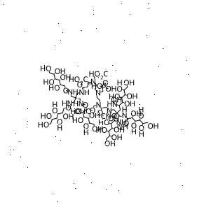 O=COCN(CCN(CCN(CC(=O)O)[C@@H](CC(=O)NCC(CNOCC(O)C(O)C(O)C(O)CO)(CNOCC(O)C(O)C(O)C(O)CO)CNOCC(O)C(O)C(O)C(O)CO)C(=O)O)CP(=O)(O)O)C(CN(CO)CC(CNC(=O)C(O)C(O)C(O)C(O)CO)(CC(NO)C(O)C(O)C(O)C(O)CO)CC(NO)C(O)C(O)C(O)C(O)CO)OC=O